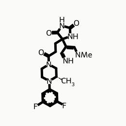 CN/C=C(\C=N)C1(CCC(=O)N2CCN(c3cc(F)cc(F)c3)[C@@H](C)C2)NC(=O)NC1=O